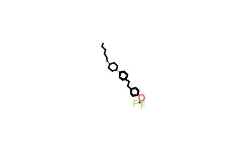 CCCCCC[C@H]1CC[C@H](c2ccc(CCc3ccc(OC(F)F)cc3)cc2)CC1